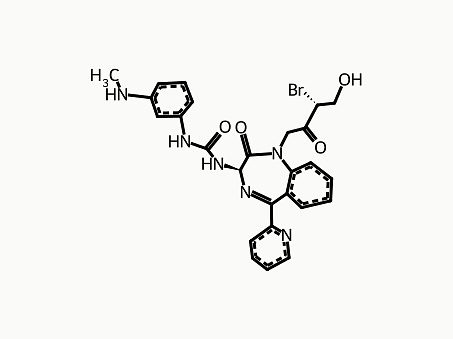 CNc1cccc(NC(=O)N[C@@H]2N=C(c3ccccn3)c3ccccc3N(CC(=O)[C@H](Br)CO)C2=O)c1